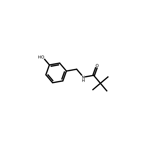 CC(C)(C)C(=O)NCc1cccc(O)c1